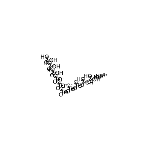 [Nb+5].[Nb+5].[O]=[Ti]([O-])[O-].[O]=[Ti]([O-])[O-].[O]=[Ti]([O-])[O-].[O]=[Ti]([O-])[O-].[O]=[Ti]([O-])[O-].[O]=[Zr]([OH])[OH].[O]=[Zr]([OH])[OH].[O]=[Zr]([OH])[OH].[O]=[Zr]([OH])[OH].[O]=[Zr]([OH])[OH]